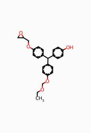 CCOCOc1ccc(C(c2ccc(O)cc2)c2ccc(OCC3CO3)cc2)cc1